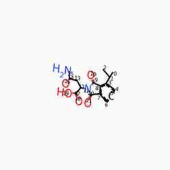 CC(C)c1cccc2c1C(=O)N(C(CC(N)=O)C(=O)O)C2=O